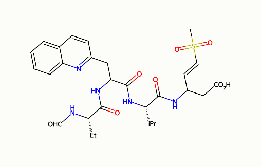 CC[C@H](NC=O)C(=O)NC(Cc1ccc2ccccc2n1)C(=O)N[C@H](C(=O)NC(/C=C/S(C)(=O)=O)CC(=O)O)C(C)C